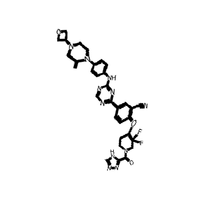 CC1CN(C2COC2)CCN1c1ccc(Nc2ncnc(-c3ccc(OC4CCN(C(=O)c5nnc[nH]5)CC4(F)F)c(C#N)c3)n2)cc1